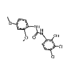 COc1ccc(NC(=O)Nc2ccc(Cl)c(Cl)c2O)c(OC)c1